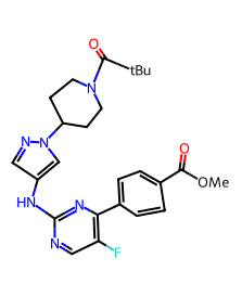 COC(=O)c1ccc(-c2nc(Nc3cnn(C4CCN(C(=O)C(C)(C)C)CC4)c3)ncc2F)cc1